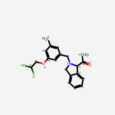 Cc1cc(CN2Cc3ccccc3C2C(=O)C=O)cc(OCC(F)F)c1